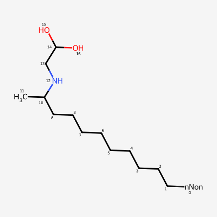 CCCCCCCCCCCCCCCCCCC(C)NCC(O)O